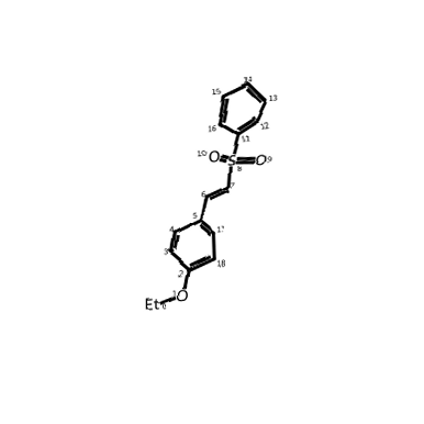 CCOc1ccc(/C=C/S(=O)(=O)c2ccccc2)cc1